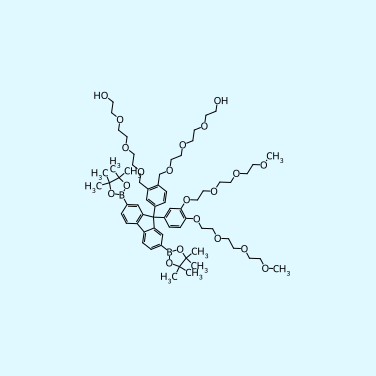 COCCOCCOCCOc1ccc(C2(c3ccc(COCCOCCOCCO)c(COCCOCCOCCO)c3)c3cc(B4OC(C)(C)C(C)(C)O4)ccc3-c3ccc(B4OC(C)(C)C(C)(C)O4)cc32)cc1OCCOCCOCCOC